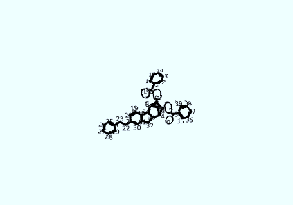 O=C(OC1C2CC(C1OC(=O)c1ccccc1)C1c3ccc(CCc4ccccc4)cc3CC21)c1ccccc1